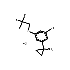 Cl.NC1(c2cc(Cl)cc(OCC(F)(F)F)c2)CC1